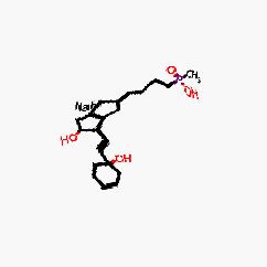 CP(=O)(O)CCCC=C1CC2CC(O)C(C=CC3(O)CCCCC3)C2C1.[NaH]